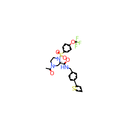 CC(=O)N1CCN(S(=O)(=O)c2ccc(OC(F)(F)F)cc2)[C@@H](C(=O)NCc2ccc(-c3cccs3)cc2)C1